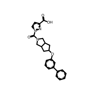 O=C(O)c1ccn(C(=O)N2CC3CC(Oc4cccc(-c5ccccc5)c4)CC3C2)n1